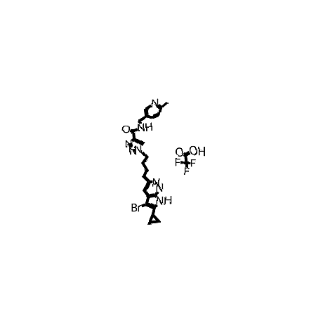 Cc1ccc(CNC(=O)c2cn(CCCCc3cc4c(Br)c(C5CC5)[nH]c4nn3)nn2)cn1.O=C(O)C(F)(F)F